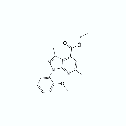 CCOC(=O)c1cc(C)nc2c1c(C)nn2-c1ccccc1OC